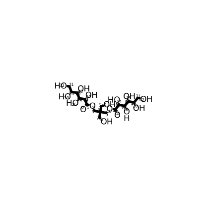 O=C(OCC(CO)(CO)COC(=O)[C@@H](O)[C@H](O)[C@@H](O)[C@H](O)CO)[C@@H](O)[C@H](O)[C@@H](O)[C@H](O)CO